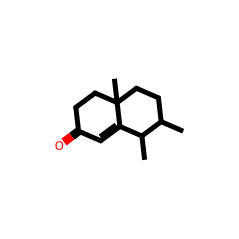 CC1CCC2(C)CCC(=O)C=C2C1C